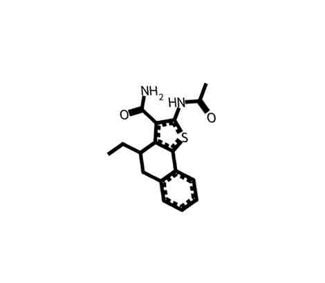 CCC1Cc2ccccc2-c2sc(NC(C)=O)c(C(N)=O)c21